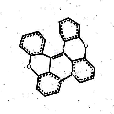 C[n+]1cccc2c1/C(=C1/c3ccccc3Oc3ccc[n+](C)c31)c1ccccc1O2